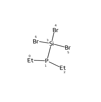 CCP(CC)[Si](Br)(Br)Br